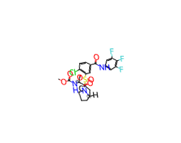 COC(=O)N[C@@H](C)C(=O)N1C2CC[C@H]1CC(S(=O)(=O)c1cc(C(=O)Nc3cc(F)c(F)c(F)c3)ccc1Cl)C2